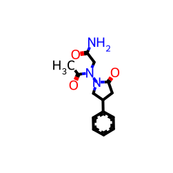 CC(=O)N(CC(N)=O)N1CC(c2ccccc2)CC1=O